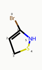 BrC1=C[CH]SN1